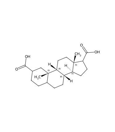 C[C@]12CC(C(=O)O)CCC1CC[C@@H]1[C@H]2CC[C@]2(C)C(C(=O)O)CC[C@@H]12